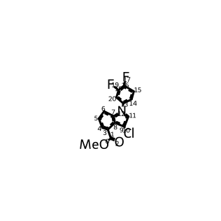 COC(=O)c1cccc2c1c(Cl)cn2-c1ccc(F)c(F)c1